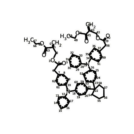 C=C(COC(=O)Cc1ccc(N(c2ccccc2)c2ccc(C3(c4ccc(N(c5ccccc5)c5ccc(CC(=O)OCC(=C)C(=O)OCC)cc5)cc4)CCCCC3)cc2)cc1)C(=O)OCC